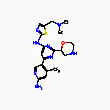 CCN(CC)Cc1cnc(Nc2cc(-c3cnc(N)cc3C(F)(F)F)nc(C3CNCCO3)n2)s1